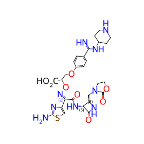 N=C(NC1CCNCC1)c1ccc(OCC(O/N=C(\C(=O)N[C@@H]2C(=O)N[C@@H]2CN2CCOC2=O)c2csc(N)n2)C(=O)O)cc1